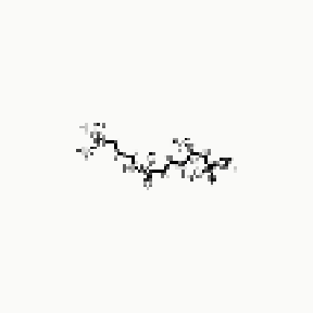 CN(C)CCCNS(=O)(=O)CCCC(CC(F)(C(F)(F)F)C(F)(F)F)C(F)(F)F